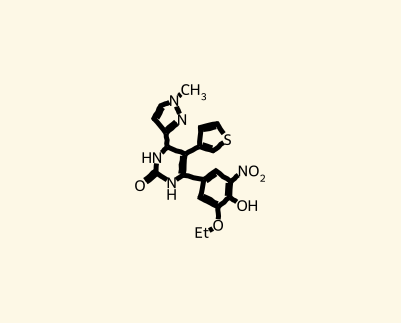 CCOc1cc(C2=C(c3ccsc3)C(c3ccn(C)n3)NC(=O)N2)cc([N+](=O)[O-])c1O